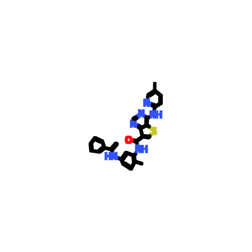 C=C(Nc1ccc(C)c(NC(=O)c2csc3c(Nc4ccc(C)cn4)ncnc23)c1)c1ccccc1